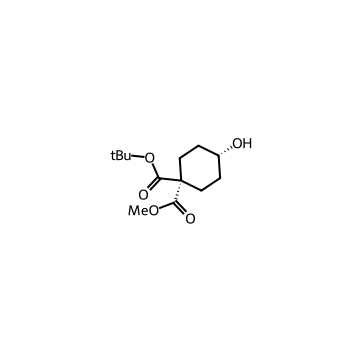 COC(=O)[C@]1(C(=O)OC(C)(C)C)CC[C@H](O)CC1